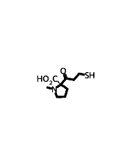 CN1CCC[C@]1(C(=O)O)C(=O)CCS